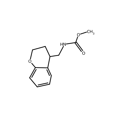 COC(=O)NCC1CCOc2ccccc21